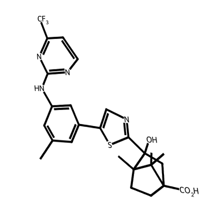 Cc1cc(Nc2nccc(C(F)(F)F)n2)cc(-c2cnc(C3(O)CC4(C(=O)O)CCC3(C)C4(C)C)s2)c1